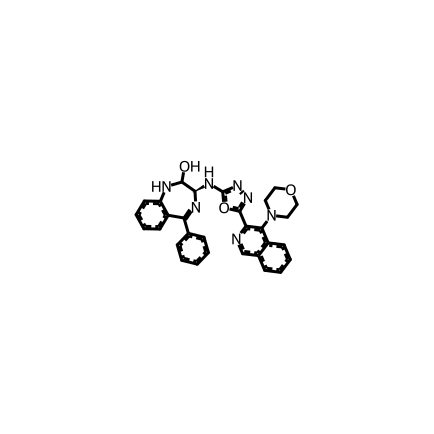 OC1Nc2ccccc2C(c2ccccc2)=N[C@@H]1Nc1nnc(-c2ncc3ccccc3c2N2CCOCC2)o1